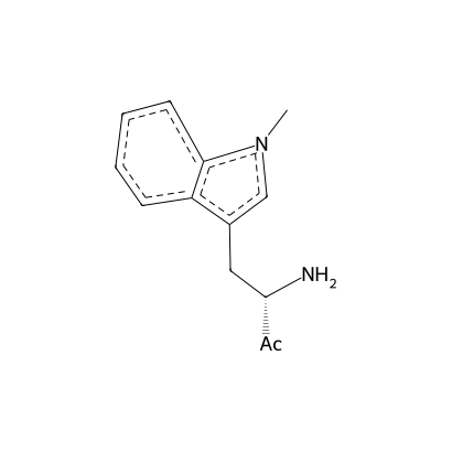 CC(=O)[C@@H](N)Cc1cn(C)c2ccccc12